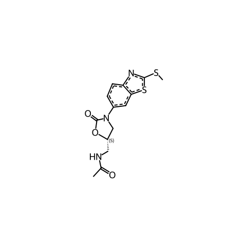 CSc1nc2ccc(N3C[C@H](CNC(C)=O)OC3=O)cc2s1